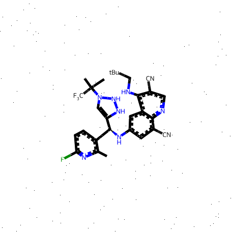 Cc1nc(F)ccc1[C@H](Nc1cc(C#N)c2ncc(C#N)c(NCC(C)(C)C)c2c1)C1=CN(C(C)(C)C(F)(F)F)NN1